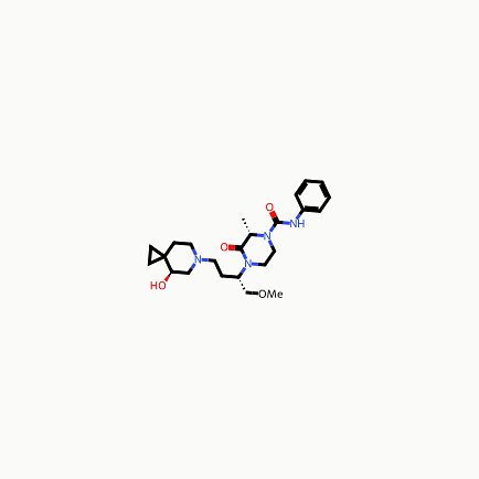 COC[C@H](CCN1CCC2(CC2)[C@H](O)C1)N1CCN(C(=O)Nc2ccccc2)[C@@H](C)C1=O